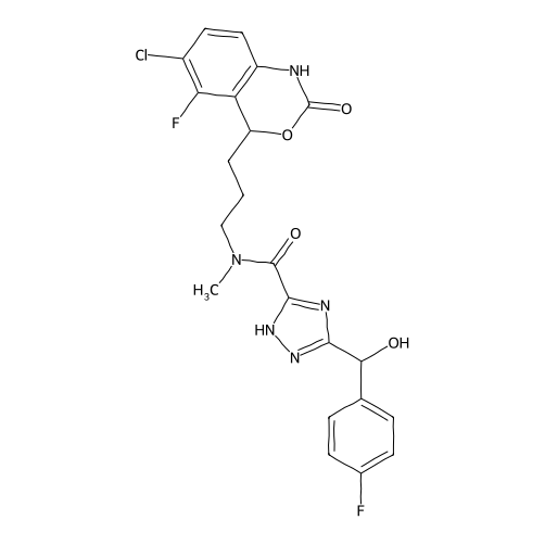 CN(CCCC1OC(=O)Nc2ccc(Cl)c(F)c21)C(=O)c1nc(C(O)c2ccc(F)cc2)n[nH]1